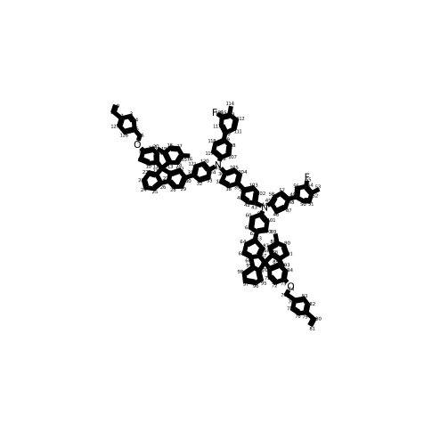 C=Cc1ccc(COc2ccc(C3(c4cc(C)ccc4C)c4ccccc4-c4ccc(-c5ccc(N(c6ccc(-c7ccc(N(c8ccc(-c9ccc(C)c(F)c9)cc8)c8ccc(-c9ccc%10c(c9)C(c9ccc(OCc%11ccc(C=C)cc%11)cc9)(c9cc(C)ccc9C)c9ccccc9-%10)cc8)cc7)cc6)c6ccc(-c7ccc(C)c(F)c7)cc6)cc5)cc43)cc2)cc1